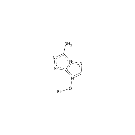 CCOn1cnn2c(N)nnc12